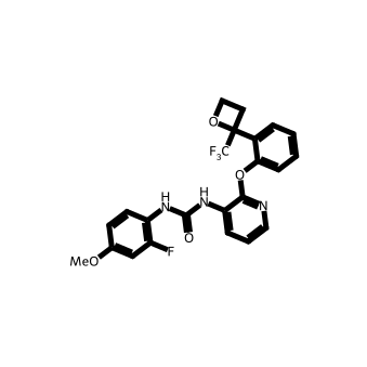 COc1ccc(NC(=O)Nc2cccnc2Oc2ccccc2C2(C(F)(F)F)CCO2)c(F)c1